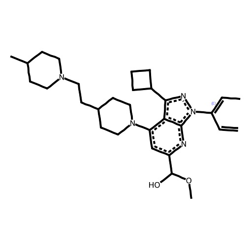 C=C/C(=C\C)n1nc(C2CCC2)c2c(N3CCC(CCN4CCC(C)CC4)CC3)cc(C(O)OC)nc21